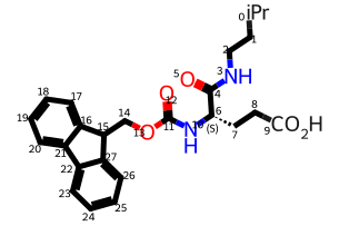 CC(C)CCNC(=O)[C@H](CCC(=O)O)NC(=O)OCC1c2ccccc2-c2ccccc21